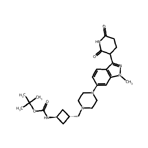 Cn1nc(C2CCC(=O)NC2=O)c2ccc(N3CCN(C[C@H]4C[C@H](NC(=O)OC(C)(C)C)C4)CC3)cc21